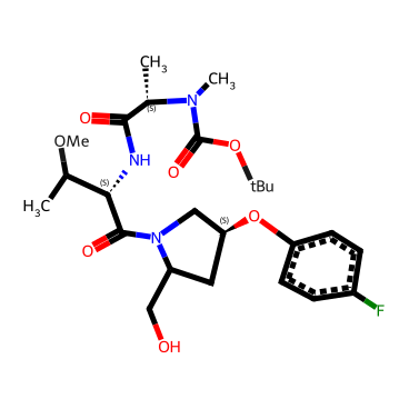 COC(C)[C@H](NC(=O)[C@H](C)N(C)C(=O)OC(C)(C)C)C(=O)N1C[C@@H](Oc2ccc(F)cc2)CC1CO